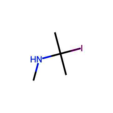 CNC(C)(C)I